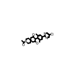 CC(=O)N1CCC2(CC1)CC(=O)C(c1c(C)cc(-c3ncc(Cl)cn3)cc1C)C(=O)C2